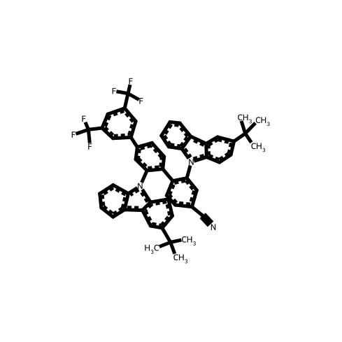 CC(C)(C)c1ccc2c(c1)c1ccccc1n2-c1cc(C#N)ccc1-c1ccc(-c2cc(C(F)(F)F)cc(C(F)(F)F)c2)cc1-n1c2ccccc2c2cc(C(C)(C)C)ccc21